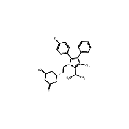 Cc1c(-c2ccccc2)c(-c2ccc(F)cc2)n(CC[C@H]2C[C@H](O)CC(=O)O2)c1C(C)C